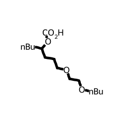 CCCCOCCOCCCC(CCCC)OC(=O)O